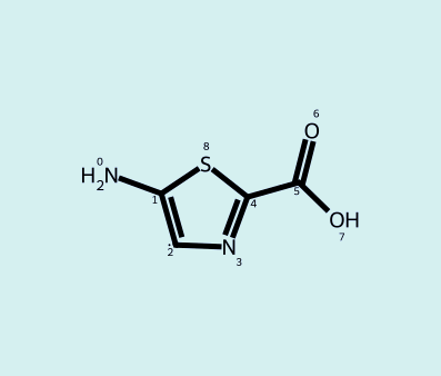 Nc1[c]nc(C(=O)O)s1